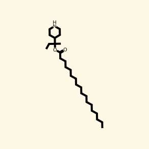 CCCCCCCCCCCCCCCCCC(=O)OC(C)(CC)C1CCNCC1